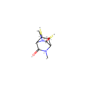 CN1C(=O)C2C(=S)C(=S)C1C(=O)N2C